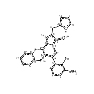 Nc1cccc(-c2cn3c(=O)c(Cc4ccco4)nc-3c(Cc3ccccc3F)[nH]2)c1F